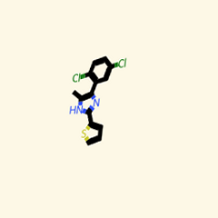 Cc1[nH]c(-c2cccs2)nc1-c1cc(Cl)ccc1Cl